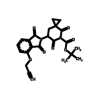 C#CCOc1cccc2c1C(=O)N(C1CC3(CC3)C(=O)N(C(=O)OC(C)(C)C)C1=O)C2=O